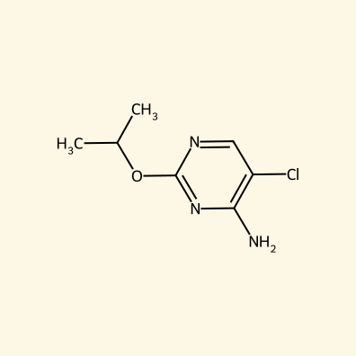 CC(C)Oc1ncc(Cl)c(N)n1